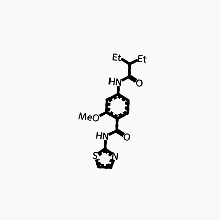 CCC(CC)C(=O)Nc1ccc(C(=O)Nc2nccs2)c(OC)c1